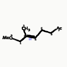 COC/C(C)=C/CCC(C)=O